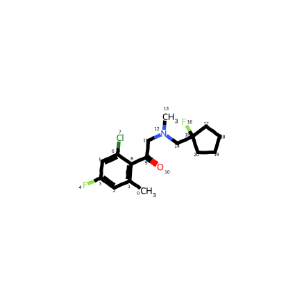 Cc1cc(F)cc(Cl)c1C(=O)CN(C)CC1(F)CCCC1